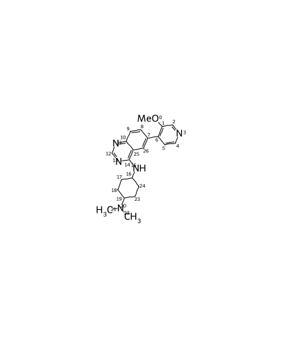 COc1cnccc1-c1ccc2ncnc(NC3CCC(N(C)C)CC3)c2c1